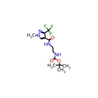 Cn1cc(C(=O)NCCNC(=O)OC(C)(C)C)c(C(F)(F)F)n1